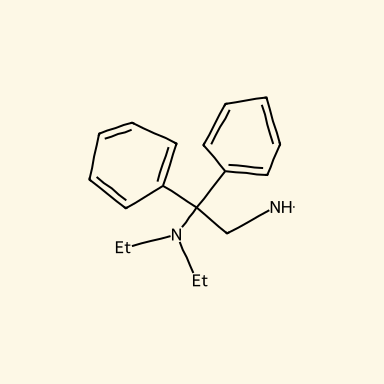 CCN(CC)C(C[NH])(c1ccccc1)c1ccccc1